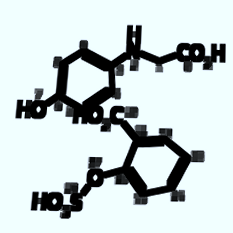 O=C(O)CNc1ccc(O)cc1.O=C(O)c1ccccc1OS(=O)(=O)O